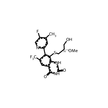 CO[C@@H](CO)CSc1c(-c2cc(C)c(F)cn2)c(C(F)(F)F)cc2c(=O)[nH]c(=O)[nH]c12